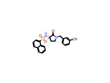 N#Cc1cccc(CN2CC[C@H](NS(=O)(=O)c3cccc4ccccc34)C2=O)c1